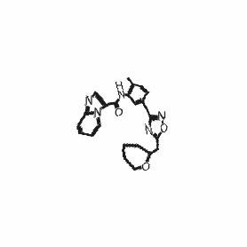 Cc1ccc(-c2noc(CC3CCCCO3)n2)cc1NC(=O)c1cnc2ccccn12